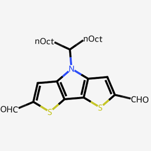 CCCCCCCCC(CCCCCCCC)n1c2cc(C=O)sc2c2sc(C=O)cc21